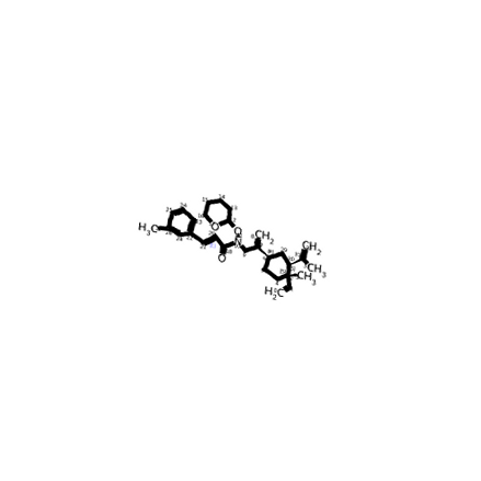 C=C[C@]1(C)CC[C@@H](C(=C)CN(OC2CCCCO2)C(=O)/C=C/c2cccc(C)c2)C[C@H]1C(=C)C